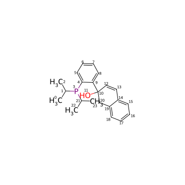 CC(C)P(c1ccccc1C1(O)C=Cc2ccccc2C1)C(C)C